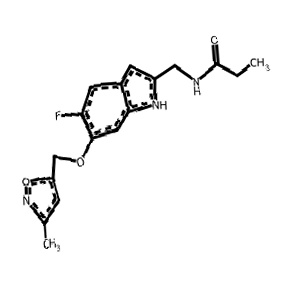 CCC(=O)NCc1cc2cc(F)c(OCc3cc(C)no3)cc2[nH]1